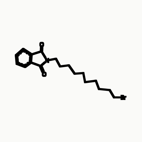 O=C1c2ccccc2C(=O)N1CCCCCCCCCCBr